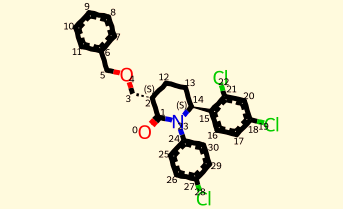 O=C1[C@H](COCc2ccccc2)CC[C@@H](c2ccc(Cl)cc2Cl)N1c1ccc(Cl)cc1